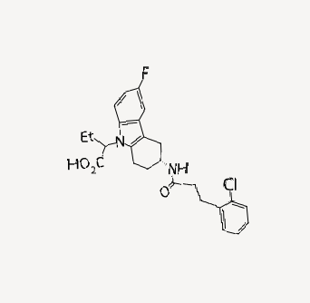 CCC(C(=O)O)n1c2c(c3cc(F)ccc31)C[C@H](NC(=O)CCc1ccccc1Cl)CC2